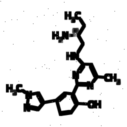 CC[C@@H](N)CNc1cc(C)nc(-c2cc(-c3cnn(C)c3)ccc2O)n1